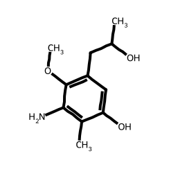 COc1c(CC(C)O)cc(O)c(C)c1N